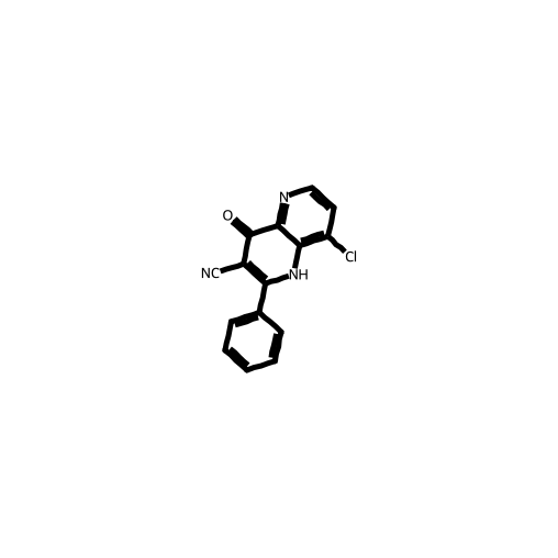 N#Cc1c(-c2ccccc2)[nH]c2c(Cl)ccnc2c1=O